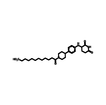 O=C(O)CCCCCCCCCCC(=O)N1CCC(c2ccc(NC3CCC(=O)NC3=O)cc2)CC1